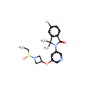 CC[S+]([O-])N1CC(Oc2cncc(N3C(=O)c4ccc(Cl)cc4C3(C)C)c2)C1